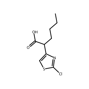 CCCCC(C(=O)O)c1csc(Cl)n1